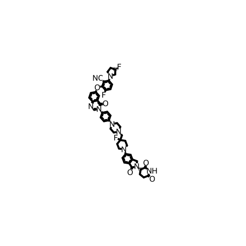 N#Cc1c(N2CC[C@@H](F)C2)ccc(F)c1Oc1ccc2ncn(-c3ccc(N4CCN(CC5(F)CCN(c6ccc7c(c6)CN([C@H]6CCC(=O)NC6=O)C7=O)CC5)CC4)cc3)c(=O)c2c1